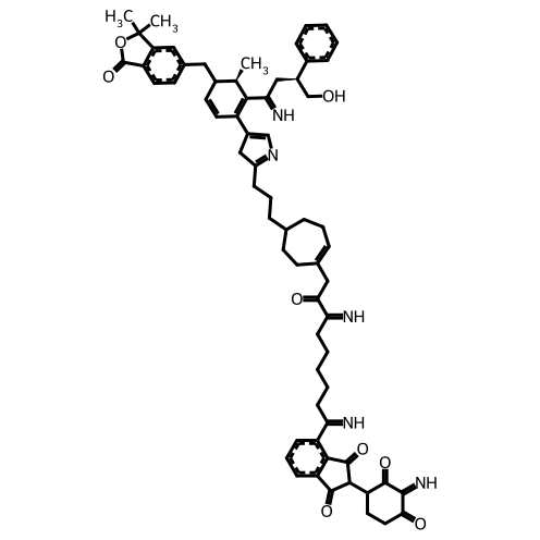 C[C@H]1C(C(=N)C[C@H](CO)c2ccccc2)=C(C2=CN=C(CCCC3CCC=C(CC(=O)C(=N)CCCCCC(=N)c4cccc5c4C(=O)C(C4CCC(=O)C(=N)C4=O)C5=O)CC3)C2)C=CC1Cc1ccc2c(c1)C(C)(C)OC2=O